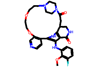 COc1c(F)cccc1Nc1c2[nH]c3c1C(=O)NCC3CC(=O)N1CCN(CCOCCOc3cnccc3-2)CC1